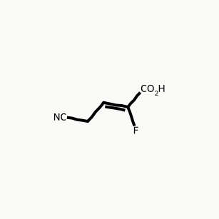 N#CC/C=C(\F)C(=O)O